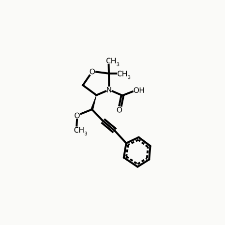 COC(C#Cc1ccccc1)[C@H]1COC(C)(C)N1C(=O)O